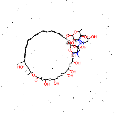 CNCC(=O)N[C@@H]1[C@H](O)[C@@H](O[C@H]2/C=C/C=C/C=C/C=C/C=C/C=C/C=C/[C@H](C)[C@@H](O)[C@@H](C)[C@H](C)OC(=O)C[C@H](O)C[C@H](O)CC[C@@H](O)[C@H](O)C[C@H](O)C[C@]3(O)C[C@H](O)[C@@H](C(=O)N4CCC(O)CC4)[C@H](C2)O3)O[C@@H](C)[C@H]1O